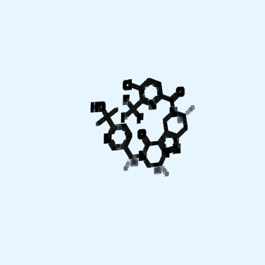 C[C@@H]1Cc2nn3c(c2CN1C(=O)c1ccc(Cl)c(C(F)(F)F)n1)C(=O)N([C@H](C)c1ccc(C(C)(C)O)nc1)C[C@H]3C